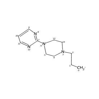 [CH2]CCN1CCN(c2ncccn2)CC1